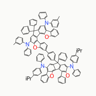 Cc1cccc(N(c2ccccc2)c2cc3c(c4c2oc2cc(-c5ccc(C6(c7ccccc7)c7cc(N(c8ccccc8)c8ccc(C(C)C)cc8)c8c(oc9ccccc98)c7-c7c6cc(N(c6ccccc6)c6ccc(C(C)C)cc6)c6oc8ccccc8c76)cc5)ccc24)-c2c(cc(N(c4ccccc4)c4cccc(C)c4)c4c2oc2ccccc24)C3(c2ccccc2)c2ccccc2)c1